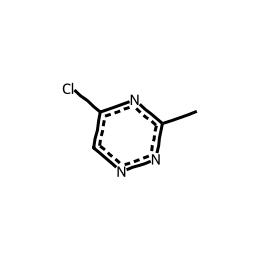 Cc1nncc(Cl)n1